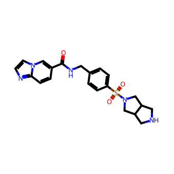 O=C(NCc1ccc(S(=O)(=O)N2CC3CNCC3C2)cc1)c1ccc2nccn2c1